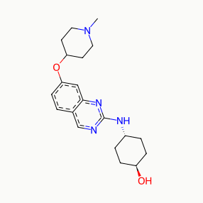 CN1CCC(Oc2ccc3cnc(N[C@H]4CC[C@H](O)CC4)nc3c2)CC1